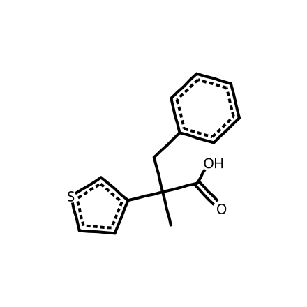 CC(Cc1ccccc1)(C(=O)O)c1ccsc1